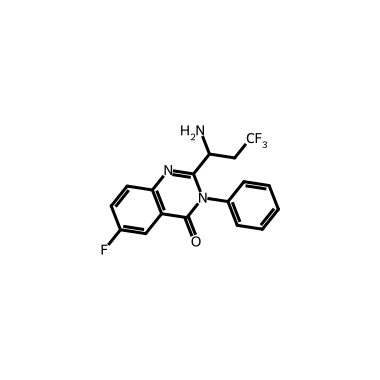 NC(CC(F)(F)F)c1nc2ccc(F)cc2c(=O)n1-c1ccccc1